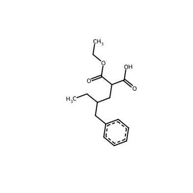 CCOC(=O)C(CC(CC)Cc1ccccc1)C(=O)O